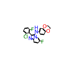 Fc1ccc2nc(-c3c(F)cccc3Cl)c(Nc3ccc4c(c3)OCCO4)n2c1